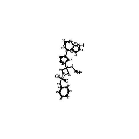 N#CCC1(n2ccc(-c3ncnc4[nH]ccc34)c2)CN(S(=O)(=O)Cc2ccccc2)C1